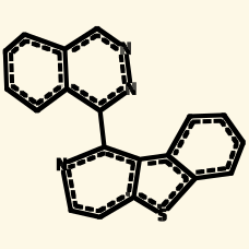 c1ccc2c(-c3nccc4sc5ccccc5c34)nncc2c1